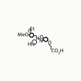 CCOc1cc(CN(c2nc3cc(OCCCC(=O)O)ccc3o2)C2CCNCC2)ccc1OC